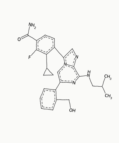 CC(C)CNc1nc(-c2ccccc2CO)cn2c(-c3ccc(C(N)=O)c(F)c3C3CC3)cnc12